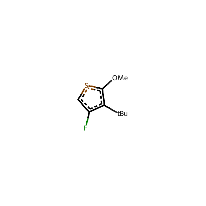 COc1scc(F)c1C(C)(C)C